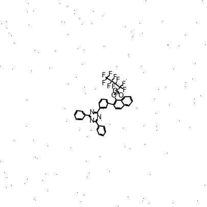 O=S(=O)(Oc1c(-c2cccc(-c3nc(-c4ccccc4)nc(-c4ccccc4)n3)c2)ccc2ccccc12)C(F)(F)C(F)(F)C(F)(F)C(F)(F)F